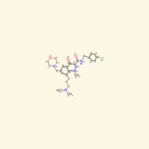 CN(C)CCCc1cc(CN2CCOCC2)cc2c(=O)c(C(=O)NCc3ccc(Cl)cc3)nn(C)c12